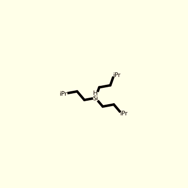 CC(C)CC[SiH](CCC(C)C)CCC(C)C